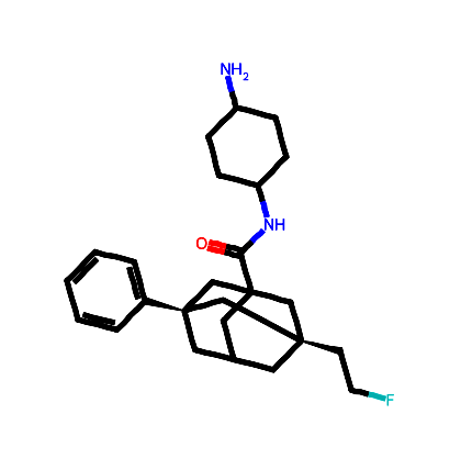 NC1CCC(NC(=O)C23CC4C[C@@](CCF)(C2)C[C@](c2ccccc2)(C4)C3)CC1